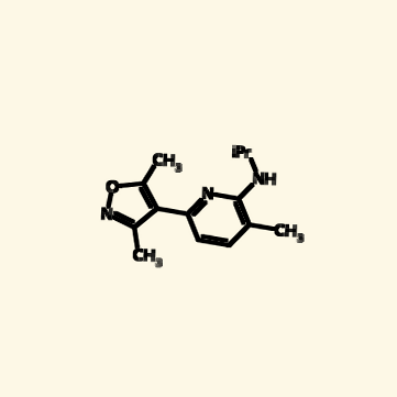 Cc1ccc(-c2c(C)noc2C)nc1NC(C)C